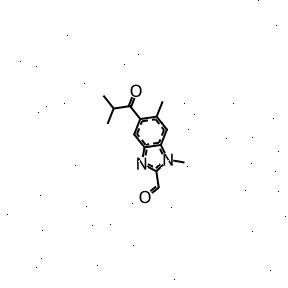 Cc1cc2c(cc1C(=O)C(C)C)nc(C=O)n2C